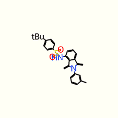 C=c1c2cccc(NS(=O)(=O)c3ccc(C(C)(C)C)cc3)c2c(=C)n1-c1cccc(C)c1